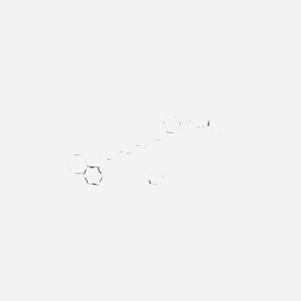 CCC(=O)O.O=C(O)CCC1OCC(CSCCCCCOc2cccc3c2CCCC3)S1